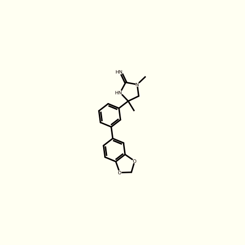 CN1CC(C)(c2cccc(-c3ccc4c(c3)OCO4)c2)NC1=N